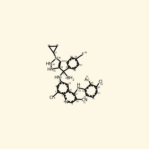 BC(Nc1cc(Cl)c2ncc(C#N)c(Nc3cccc(Cl)c3C(C)=O)c2c1)(C1=CN(C2CC2)NN1)c1ccc(F)cc1